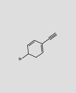 C#CC1=CCC(Br)C=C1